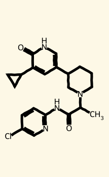 CC(C(=O)Nc1ccc(Cl)cn1)N1CCCC(c2c[nH]c(=O)c(C3CC3)c2)C1